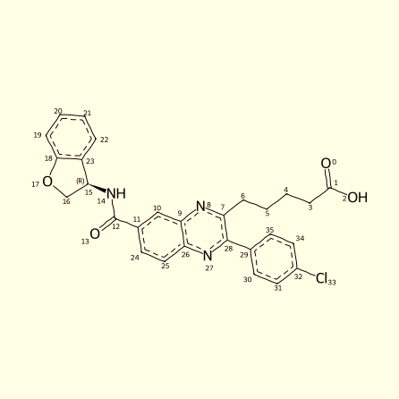 O=C(O)CCCCc1nc2cc(C(=O)N[C@H]3COc4ccccc43)ccc2nc1-c1ccc(Cl)cc1